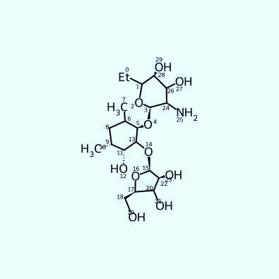 CCC1O[C@H](O[C@@H]2C(C)C[C@@H](C)[C@@H](O)C2O[C@@H]2O[C@H](CO)C(O)[C@@H]2O)C(N)C(O)[C@@H]1O